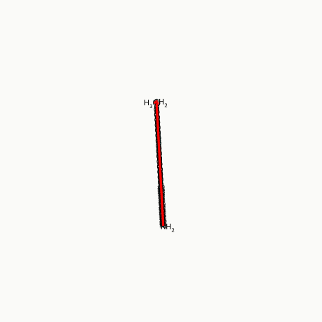 C=C(C)C(=O)CCCOCCOCCOCCOCCOCCOCCOCCOCCOCCOCCOCCOCCOCCOCCOCCOCCOCCOCCOCCOCCOCCOCCOCCOCCOCCOCCOCCOCCOCCOCCOCCOCCOCCOCCOCCOCCOCCOCCOCCOCCOCCOCCOCCOCCOCCOCCN